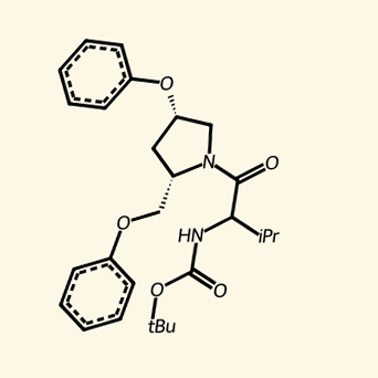 CC(C)C(NC(=O)OC(C)(C)C)C(=O)N1C[C@@H](Oc2ccccc2)C[C@H]1COc1ccccc1